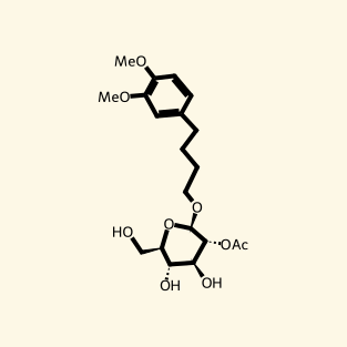 COc1ccc(CCCCO[C@@H]2O[C@H](CO)[C@@H](O)[C@H](O)[C@H]2OC(C)=O)cc1OC